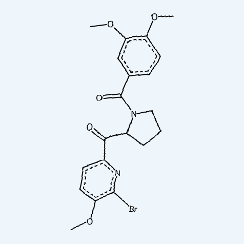 COc1ccc(C(=O)N2CCCC2C(=O)c2ccc(OC)c(Br)n2)cc1OC